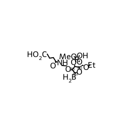 B[C@@H]1O[C@H](COCC)C(OP(=O)(O)OC)[C@@H]1OCCNC(=O)CCCC(=O)O